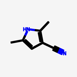 Cc1cc(C#N)c(C)[nH]1